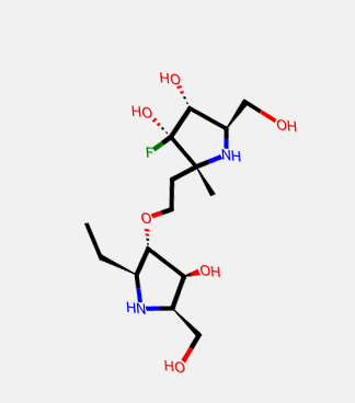 CC[C@@H]1N[C@H](CO)[C@H](O)[C@H]1OCC[C@@]1(C)N[C@H](CO)[C@@H](O)[C@]1(O)F